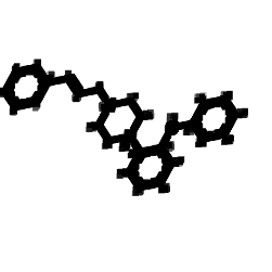 C(=Cc1ccccc1)CN1CCN(c2ccccc2Oc2ccccc2)CC1